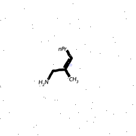 CCC/C=C(/C)CN